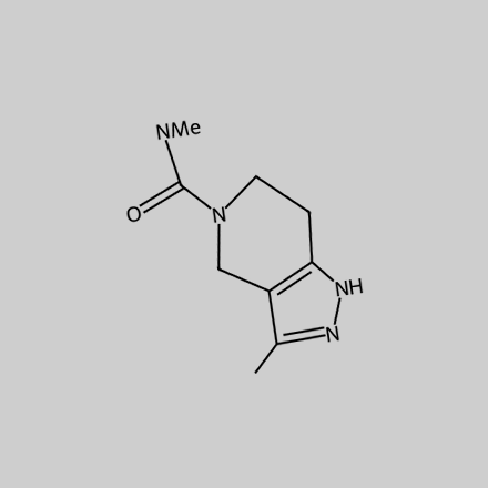 CNC(=O)N1CCc2[nH]nc(C)c2C1